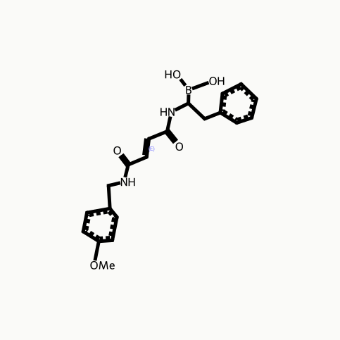 COc1ccc(CNC(=O)/C=C/C(=O)NC(Cc2ccccc2)B(O)O)cc1